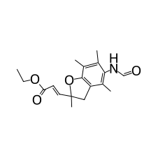 CCOC(=O)C=CC1(C)Cc2c(C)c(NC=O)c(C)c(C)c2O1